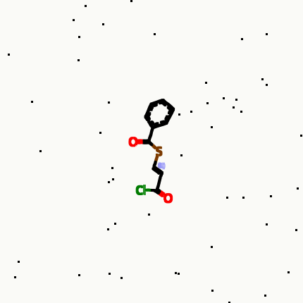 O=C(Cl)/C=C/SC(=O)c1ccccc1